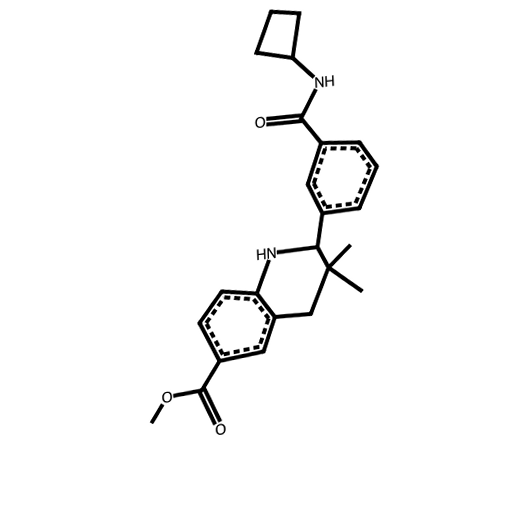 COC(=O)c1ccc2c(c1)CC(C)(C)C(c1cccc(C(=O)NC3CCC3)c1)N2